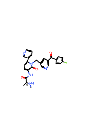 CN[C@@H](C)C(=O)Nc1ccc(-c2cccnc2)n(Cc2cncc(C(=O)c3ccc(F)cc3)c2)c1=O